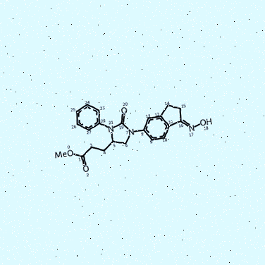 COC(=O)CCC1CN(c2ccc3c(c2)CCC3=NO)C(=O)N1c1ccccc1